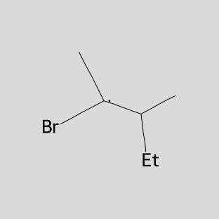 CCC(C)[C](C)Br